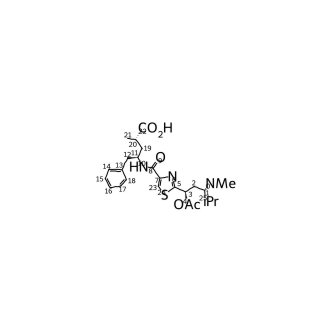 CN[C@@H](C[C@@H](OC(C)=O)c1nc(C(=O)N[C@@H](Cc2ccccc2)C[C@H](C)C(=O)O)cs1)C(C)C